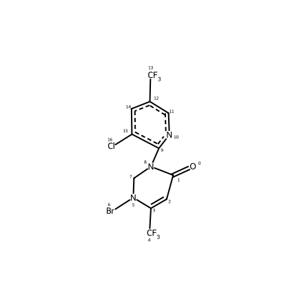 O=C1C=C(C(F)(F)F)N(Br)CN1c1ncc(C(F)(F)F)cc1Cl